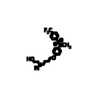 CCN(CCO)CCCCOc1ccc(N(C)S(=O)(=O)c2ccc(C(F)(F)F)cc2)cc1